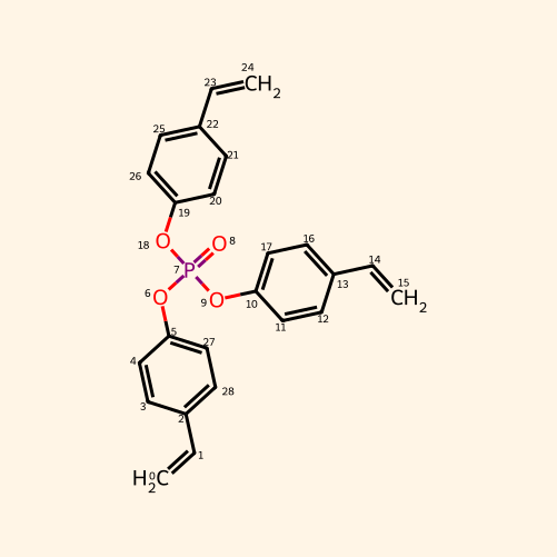 C=Cc1ccc(OP(=O)(Oc2ccc(C=C)cc2)Oc2ccc(C=C)cc2)cc1